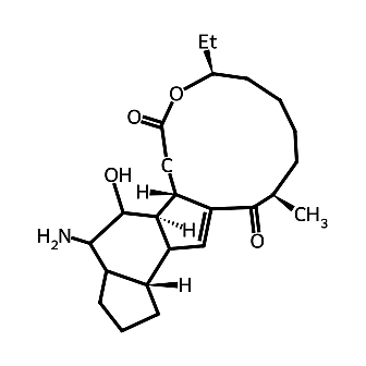 CC[C@H]1CCCC[C@@H](C)C(=O)C2=CC3[C@@H]4CCCC4C(N)C(O)[C@H]3[C@@H]2CC(=O)O1